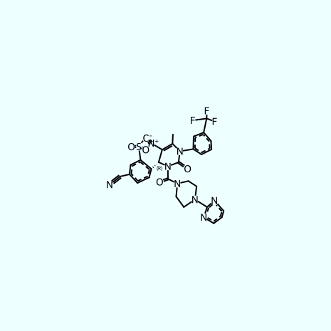 [C-]#[N+]C1=C(C)N(c2cccc(C(F)(F)F)c2)C(=O)N(C(=O)N2CCN(c3ncccn3)CC2)[C@@H]1c1ccc(C#N)cc1S(C)(=O)=O